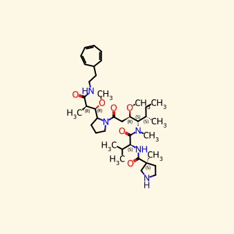 CC[C@H](C)[C@@H]([C@@H](CC(=O)N1CCCC1[C@H](OC)[C@@H](C)C(=O)NCCC1C=CC=CC=C1)OC)N(C)C(=O)[C@@H](NC(=O)[C@@]1(C)CCNC1)C(C)C